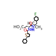 CC(C)(Cc1ccc(F)cc1)NC(=O)[C@H](CCC(=O)O)NC(=O)c1ccc(-c2ccccc2)s1